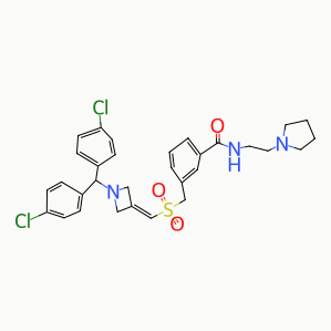 O=C(NCCN1CCCC1)c1cccc(CS(=O)(=O)C=C2CN(C(c3ccc(Cl)cc3)c3ccc(Cl)cc3)C2)c1